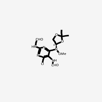 CON(c1nc(NC=O)nc(Cl)c1NC=O)[C@H]1COC(C)(C)O1